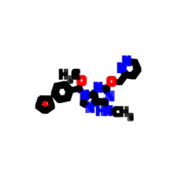 C1CC2CC1O2.CNc1nc(OCc2cccnn2)nc2c1ncn2C(OC)c1ccccc1